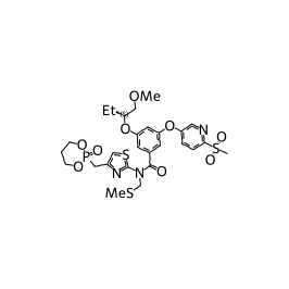 CC[C@@H](COC)Oc1cc(Oc2ccc(S(C)(=O)=O)nc2)cc(C(=O)N(CSC)c2nc(CP3(=O)OCCCO3)cs2)c1